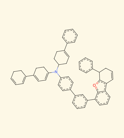 C1=CCCC(C2=CC=C(N(c3ccc(-c4cccc(-c5cccc6c7c(oc56)C(c5ccccc5)CC=C7)c4)cc3)C3CC=C(c4ccccc4)CC3)CC2)=C1